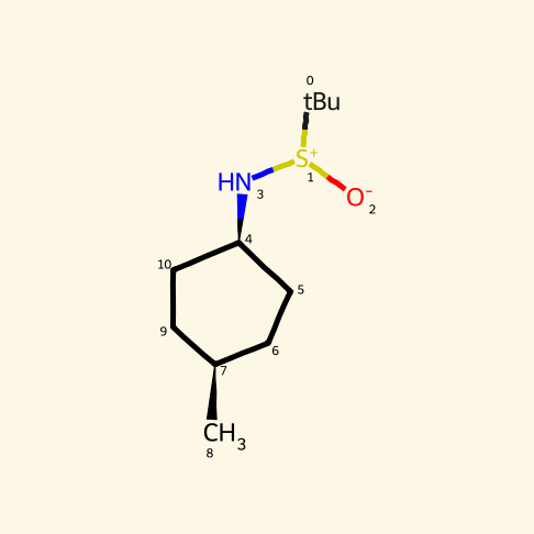 CC(C)(C)[S+]([O-])N[C@H]1CC[C@@H](C)CC1